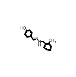 Cc1ccccc1CN/N=C/c1ccc(O)cc1